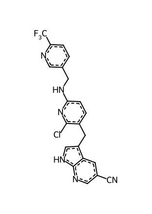 N#Cc1cnc2[nH]cc(Cc3ccc(NCc4ccc(C(F)(F)F)nc4)nc3Cl)c2c1